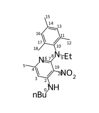 CCCCNc1cc(C)nc(N(CC)c2c(C)cc(C)cc2C)c1[N+](=O)[O-]